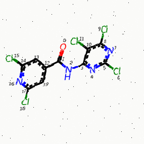 O=C(Nc1nc(Cl)nc(Cl)c1Cl)c1cc(Cl)nc(Cl)c1